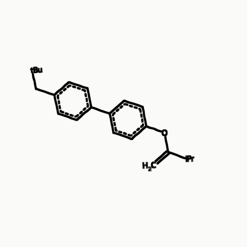 C=C(Oc1ccc(-c2ccc(CC(C)(C)C)cc2)cc1)C(C)C